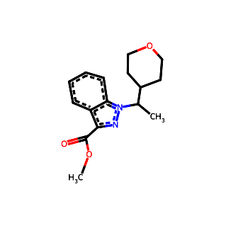 COC(=O)c1nn(C(C)C2CCOCC2)c2ccccc12